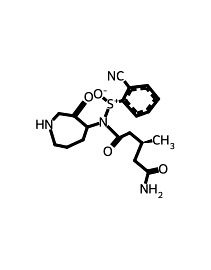 C[C@@H](CC(N)=O)CC(=O)N(C1CCCNCC1=O)[S+]([O-])c1ccccc1C#N